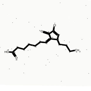 CCCCC1C=C(Cl)C(=O)/C1=C\CCCCCC(=O)O